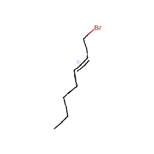 CCCC/C=C/CBr